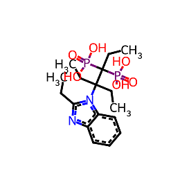 CCc1nc2ccccc2n1C(CC)(CC)C(CC)(P(=O)(O)O)P(=O)(O)O